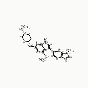 COc1nc(N[C@H]2CC[C@@H](OC)CC2)nc2[nH]cc(-c3ccc4nnn(C)c4c3)c12